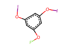 FOc1cc(OI)cc(OI)c1